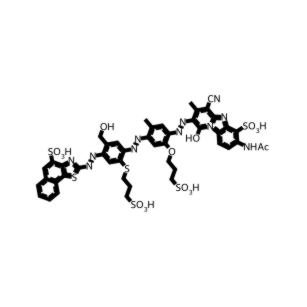 CC(=O)Nc1ccc2c(nc3c(C#N)c(C)c(N=Nc4cc(C)c(N=Nc5cc(CO)c(N=Nc6nc7c(S(=O)(=O)O)cc8ccccc8c7s6)cc5SCCCS(=O)(=O)O)cc4OCCCS(=O)(=O)O)c(O)n32)c1S(=O)(=O)O